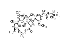 CCOC(=O)c1nn(-c2cnc(N(C)C(=O)OC(C)(C)C)nc2OC)c(C(C)C)c1C(Nc1cc(Cl)cn(C)c1=O)c1ccc(Cl)cc1